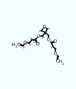 C=COCCC(=O)OCC1(COC(=O)CCOC=C)COC1